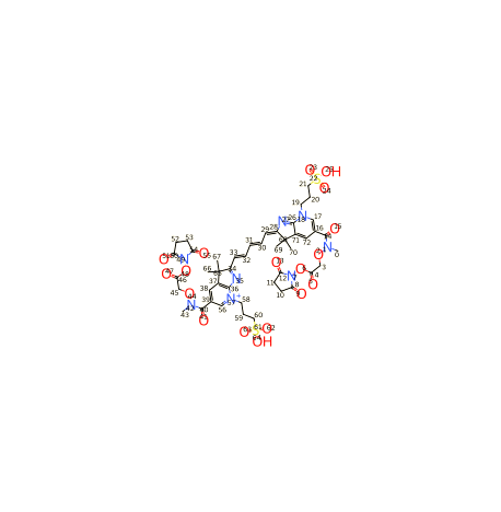 CN(OCC(=O)ON1C(=O)CCC1=O)C(=O)C1=CN(CCCS(=O)(=O)O)C2=N/C(=C/C=C/C=C/C3=Nc4c(cc(C(=O)N(C)OCC(=O)ON5C(=O)CCC5=O)c[n+]4CCCS(=O)(=O)O)C3(C)C)C(C)(C)C2=C1